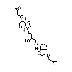 OC(CO[C@H]1CO[C@H]2[C@@H]1OC[C@H]2OCC1CO1)CO[C@H]1CO[C@H]2[C@@H]1OC[C@H]2OCC1CO1